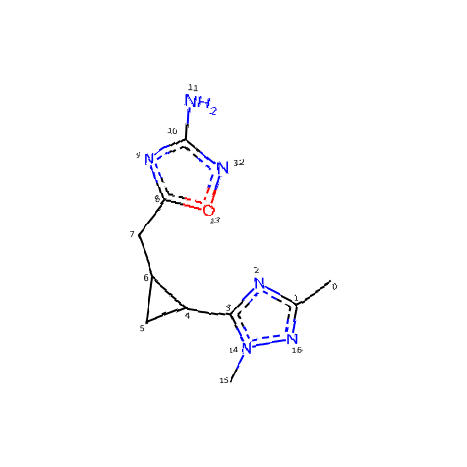 Cc1nc(C2CC2Cc2nc(N)no2)n(C)n1